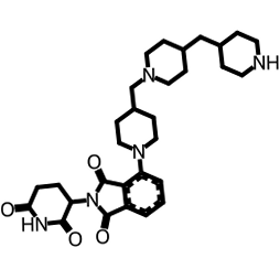 O=C1CCC(N2C(=O)c3cccc(N4CCC(CN5CCC(CC6CCNCC6)CC5)CC4)c3C2=O)C(=O)N1